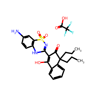 CCCC1(CCC)C(=O)C(C2=NS(=O)(=O)c3cc(N)ccc3N2)=C(O)c2ccccc21.O=C(O)C(F)(F)F